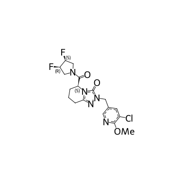 COc1ncc(Cn2nc3n(c2=O)[C@H](C(=O)N2C[C@@H](F)[C@@H](F)C2)CCC3)cc1Cl